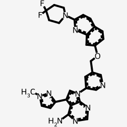 Cn1ccc(-c2cn(-c3cncc(COc4ccc5ccc(N6CCC(F)(F)CC6)nc5c4)c3)c3ncnc(N)c23)n1